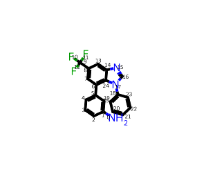 Nc1cccc(-c2cc(C(F)(F)F)cc3ncn(-c4ccccc4)c23)c1